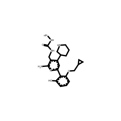 CCCNC(=O)NCc1c(C2CCCNC2)cc(-c2c(O)cccc2OCC2CC2)nc1N